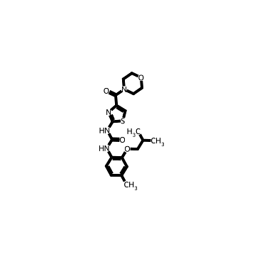 Cc1ccc(NC(=O)Nc2nc(C(=O)N3CCOCC3)cs2)c(OCC(C)C)c1